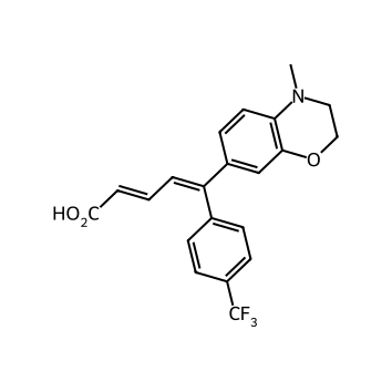 CN1CCOc2cc(C(=CC=CC(=O)O)c3ccc(C(F)(F)F)cc3)ccc21